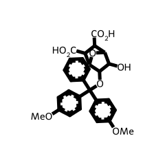 COc1ccc(C(OC2C(O)C3OC2C(C(=O)O)C3C(=O)O)(c2ccccc2)c2ccc(OC)cc2)cc1